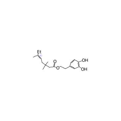 CC/C(C)=C/CC(C)(C)CC(=O)OCCc1ccc(O)c(O)c1